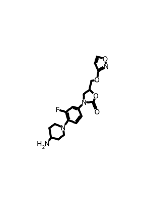 NC1CCN(c2ccc(N3CC(COc4ccon4)OC3=O)cc2F)CC1